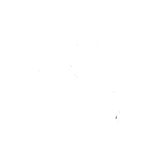 COc1c(C)cnc(Cn2nc3c4c(nc(N)nc42)SCC(N2CC[C@@H](O)C2)C3)c1C